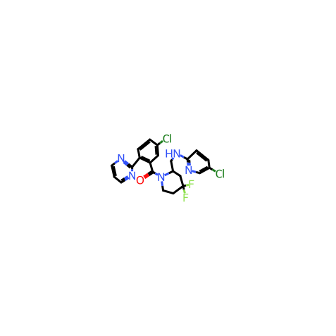 O=C(c1cc(Cl)ccc1-c1ncccn1)N1CCC(F)(F)CC1CNc1ccc(Cl)cn1